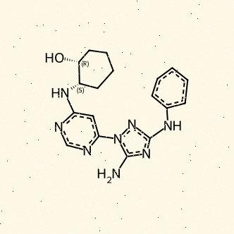 Nc1nc(Nc2ccccc2)nn1-c1cc(N[C@H]2CCCC[C@H]2O)ncn1